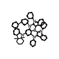 CC12CCCCC1(C)N(c1cc3c4c(c1)N(c1cccc(-c5ccccc5)c1)c1c(c5ccccc5n1-c1ccccc1)B4c1c(c4ccccc4n1-c1ccccc1)N3c1ccccc1)c1ccccc12